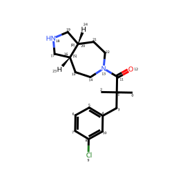 CC(C)(Cc1cccc(Cl)c1)C(=O)N1CC[C@@H]2CNC[C@@H]2CC1